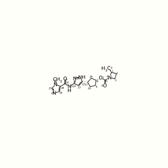 C[C@H]1CCN1C(=O)O[C@@H]1CC[C@H](c2cc(NC(=O)c3cncn3C)n[nH]2)C1